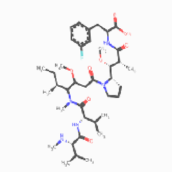 CC[C@H](C)C(C(CC(=O)N1CCC[C@H]1[C@H](OC)[C@@H](C)C(=O)NC(Cc1cccc(F)c1)C(=O)O)OC)N(C)C(=O)[C@@H](NC(=O)[C@@H](NC)C(C)C)C(C)C